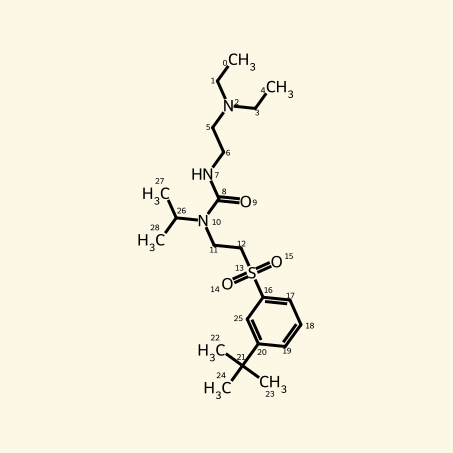 CCN(CC)CCNC(=O)N(CCS(=O)(=O)c1cccc(C(C)(C)C)c1)C(C)C